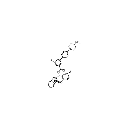 NC1CCN(c2ccc(-c3cc(F)cc(C(=O)NC(c4cc5ccccc5[nH]4)c4cc(F)ccc4O)c3)cc2)CC1